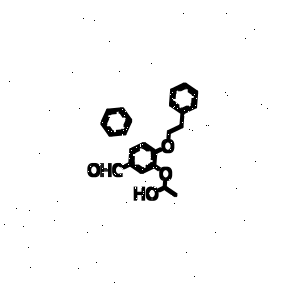 CC(O)Oc1cc(C=O)ccc1OCCc1ccccc1.c1ccccc1